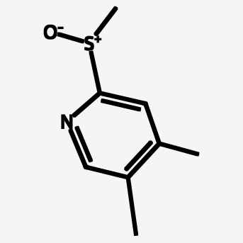 Cc1cnc([S+](C)[O-])cc1C